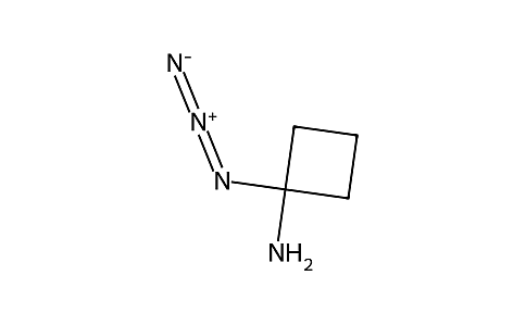 [N-]=[N+]=NC1(N)CCC1